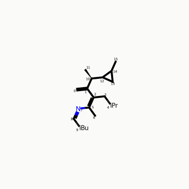 C=C(/C(CC(C)C)=C(C)\N=C/C(C)CC)[C@@H](C)C1CC1C